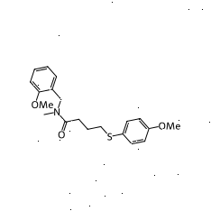 COc1ccc(SCCCC(=O)N(C)Cc2ccccc2OC)cc1